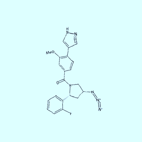 COc1cc(C(=O)N2CC(N=[N+]=[N-])C[C@@H]2c2ccccc2F)ccc1-c1cn[nH]c1